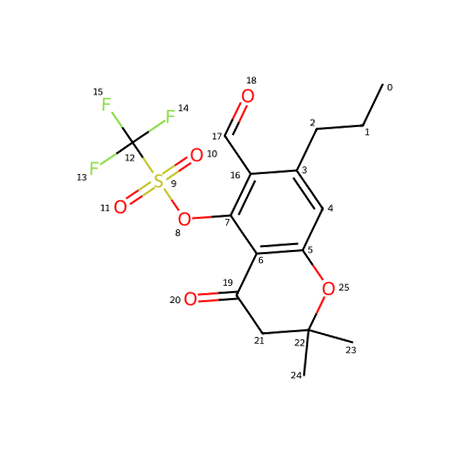 CCCc1cc2c(c(OS(=O)(=O)C(F)(F)F)c1C=O)C(=O)CC(C)(C)O2